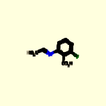 O=C(O)C=Nc1cccc(F)c1C(=O)O